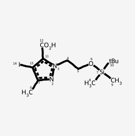 Cc1nn(CCO[Si](C)(C)C(C)(C)C)c(C(=O)O)c1I